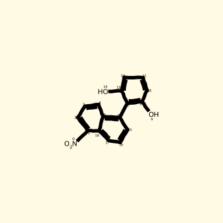 O=[N+]([O-])c1cccc2c(-c3c(O)cccc3O)cccc12